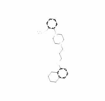 CSc1ccccc1N1CCN(CCCOc2cccc3c2CCCC3)CC1